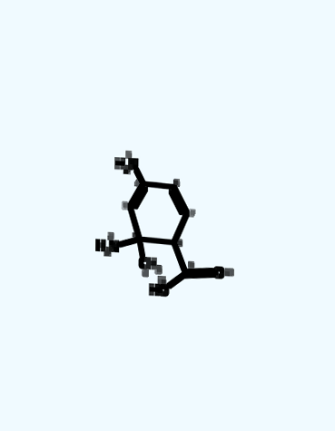 CC1(N)C=C(N)C=CC1C(=O)O